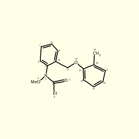 CCC(=O)N(OC)c1ccccc1COc1ccccc1C